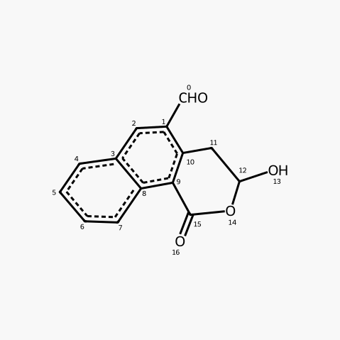 O=Cc1cc2ccccc2c2c1CC(O)OC2=O